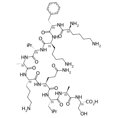 CC(C)C[C@H](NC(=O)[C@H](CCC(N)=O)NC(=O)[C@H](CCCCN)NC(=O)[C@H](C)NC(=O)[C@@H](NC(=O)[C@H](CCCCN)NC(=O)[C@H](Cc1ccccc1)NC(=O)[C@@H](N)CCCCN)C(C)C)C(=O)N[C@@H](C)C(=O)N[C@@H](CO)C(=O)O